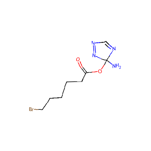 NC1(OC(=O)CCCCCBr)N=CN=N1